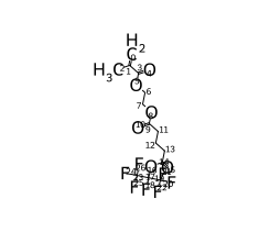 C=C(C)C(=O)OCCOC(=O)CCCC(=O)OC(F)(C(F)(F)F)C(F)(F)F